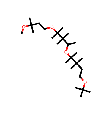 COC(C)(C)CCOC(C)(C)C(C)(C)C(C)OC(C)(C)C(C)(C)CCOC(C)(C)C